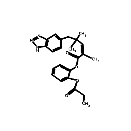 CCC(=O)Oc1ccccc1OC(=O)C(C)=CC(C)(C)Cc1ccc2[nH]nnc2c1